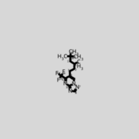 CC(CCc1cn2ncnc2nc1C(F)(F)F)CC(C)(C)C